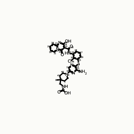 CC1(CNC(=O)O)CCN(c2cnc(Sc3cccc(NC(=O)c4c(O)nc5ccccn5c4=O)c3Cl)c(N)n2)CC1